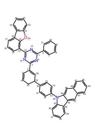 C1=CC(c2nc(-c3ccccc3)nc(-c3cccc4c3oc3ccccc34)n2)=CC(c2ccc(-n3c4ccccc4c4cc5ccccc5cc43)cc2)C1